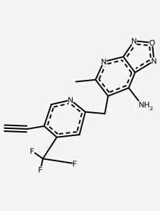 C#Cc1cnc(Cc2c(C)nc3nonc3c2N)cc1C(F)(F)F